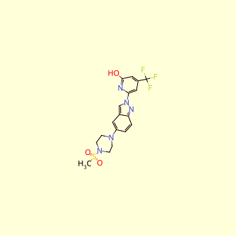 CS(=O)(=O)N1CCN(c2ccc3nn(-c4cc(C(F)(F)F)cc(O)n4)cc3c2)CC1